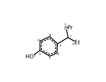 [CH2]CC(CCC)c1ccc(O)cc1